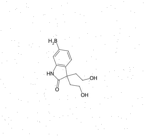 Bc1ccc2c(c1)NC(=O)C2(CCO)CCO